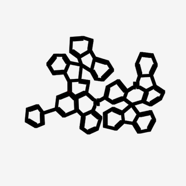 c1ccc(-c2cccc(-c3ccccc3N(c3ccc4c(c3)C3(c5ccccc5-c5ccccc53)c3ccccc3-4)c3ccc4c(c3)C3(c5ccccc5-c5ccccc53)c3cccc5c6ccccc6n-4c35)c2)cc1